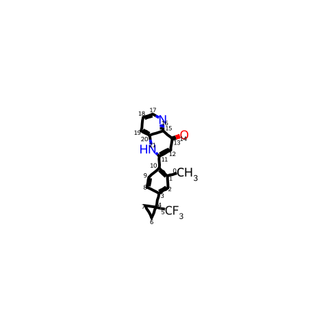 Cc1cc(C2(C(F)(F)F)CC2)ccc1-c1cc(=O)c2ncccc2[nH]1